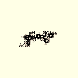 COC(=O)c1c(Cc2ccc(C(=O)N[C@@H]3CC[C@@]4(NC(=O)C(C)(C)OC(C)=O)CC5C[C@H](C[C@@H]53)C4)cc2)c(=O)c2cccnc2n1-c1ccccc1